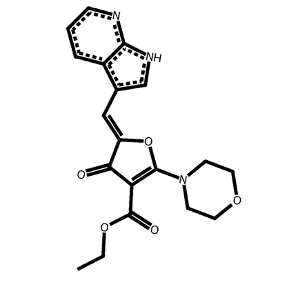 CCOC(=O)C1=C(N2CCOCC2)OC(=Cc2c[nH]c3ncccc23)C1=O